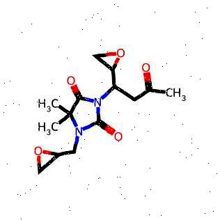 CC(=O)CC(C1CO1)N1C(=O)N(CC2CO2)C(C)(C)C1=O